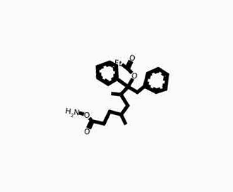 CCC(=O)OC(Cc1ccccc1)(c1ccccc1)C(C)CC(C)CCC(=O)ON